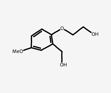 COc1ccc(OCCO)c(CO)c1